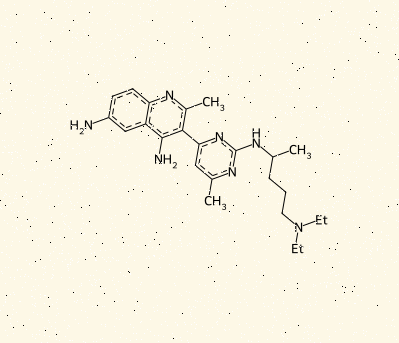 CCN(CC)CCCC(C)Nc1nc(C)cc(-c2c(C)nc3ccc(N)cc3c2N)n1